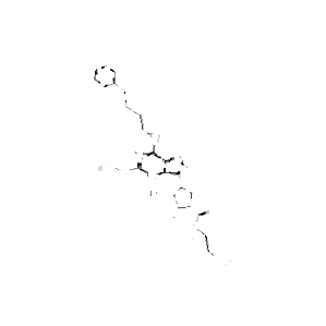 CCCSc1nc(NCCCCc2ccccc2)c2nnn([C@@H]3C[C@H](C(=O)NCCO)[C@@H](O)[C@H]3O)c2n1